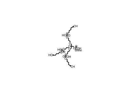 C#CCCCCOP(=O)(O)OCCCOCC(COCCCOP(=O)(O)OCCCCC#C)(COP(=O)(O)OC)OCCCOP(=O)(O)OCCCCC#C